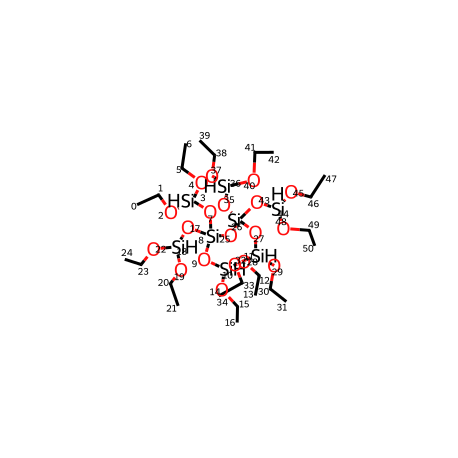 CCO[SiH](OCC)O[Si](O[SiH](OCC)OCC)(O[SiH](OCC)OCC)O[Si](O[SiH](OCC)OCC)(O[SiH](OCC)OCC)O[SiH](OCC)OCC